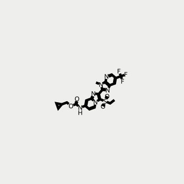 CCS(=O)(=O)c1c(-c2nc3cc(C(F)(F)F)cnc3n2C)nc2cc(NC(=O)OCC3CC3)ccn12